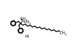 CCCCCCCCCCCCCCCCCC(Cc1ccccc1)(Cc1ccccc1)P(C)C.I